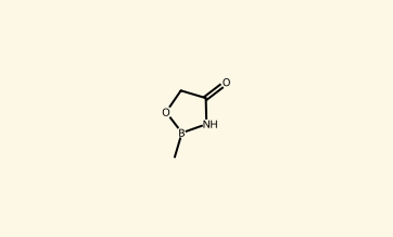 CB1NC(=O)CO1